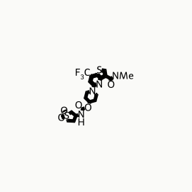 CNC(=O)c1csc2c(C(F)(F)F)cc(N3CCC(OC(=O)NC4CCS(=O)(=O)C4)CC3)nc12